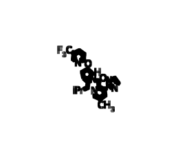 Cc1cnc(C(=O)N2C(CC(C)C)C3C[C@@H](Oc4ccc(C(F)(F)F)cn4)[C@@H]2C3)c(-n2nccn2)c1